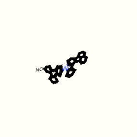 N#Cc1ccc2c3ccc(-n4c5ccccc5c5c6c(ccc54)-c4cccc5cccc-6c45)cc3c3ccccc3c2c1